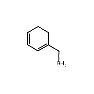 BCC1=CC=CCC1